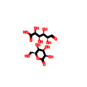 O=C1O[C@H](CO)[C@@H](O)[C@H](O)[C@H]1O.O=C[C@H](O)[C@@H](O)[C@H](O)[C@H](O)C(=O)O